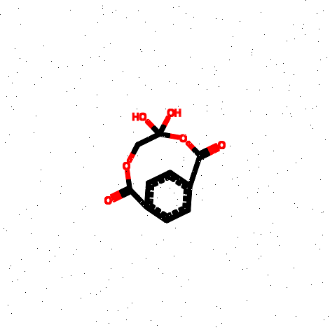 O=C1OCC(O)(O)OC(=O)c2ccc1cc2